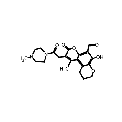 Cc1c(CC(=O)N2CCN(C)CC2)c(=O)oc2c(C=O)c(O)c3c(c12)CCCO3